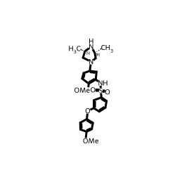 COc1ccc(Oc2cccc(S(=O)(=O)Nc3cc(N4C[C@@H](C)N[C@@H](C)C4)ccc3OC)c2)cc1